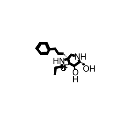 CCC(=O)N[C@@]1(CCCc2ccccc2)CN[C@H](CO)[C@@H](O)[C@@H]1F